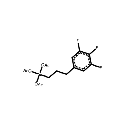 CC(=O)O[Si](CCCc1cc(F)c(F)c(F)c1)(OC(C)=O)OC(C)=O